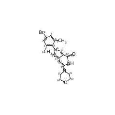 Cc1cc(Br)cc(C)c1-n1cc2c(=O)[nH]c(N3CCOCC3)nc2n1